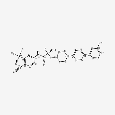 CC(O)(CN1CCN(c2ccc(-c3ccnc(F)c3)cc2)CC1)C(=O)Nc1ccc(C#N)c(C(F)(F)F)c1